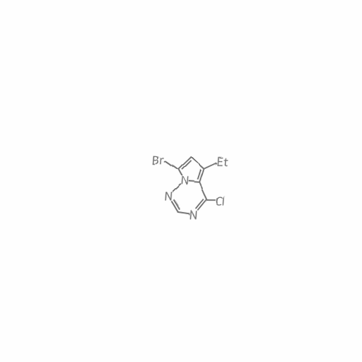 CCc1cc(Br)n2ncnc(Cl)c12